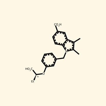 CC[C@H](Oc1cccc(Cn2c(C)c(C)c3cc(C(=O)O)ccc32)c1)C(=O)O